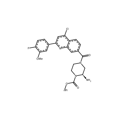 CCCOC(=O)N1CCN(C(=O)c2ccc3c(Cl)cc(-c4ccc(F)c(OC)c4)nc3c2)C[C@H]1N